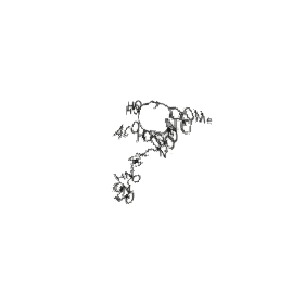 COc1cc2cc(c1Cl)N(C)C(=O)C[C@H](OC(=O)[C@H](C)N(C)C(=O)CCC(C)(C)SSCCNC(=O)CCN1C(=O)C=CC1=O)[C@]1(C)O[C@H]1[C@H](C)[C@H](OC(C)=O)C[C@](C)(O)[C@H](O)/C=C/C=C(\C)C2